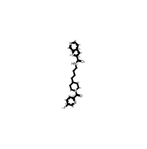 O=C(NCCCCC1CCN(C(=O)c2ccc(F)cn2)CC1)c1cc2ccncc2s1